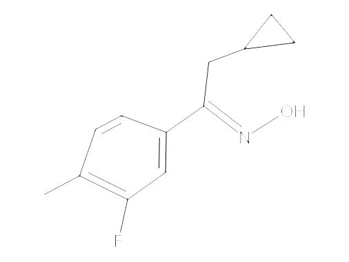 Cc1ccc(/C(CC2CC2)=N/O)cc1F